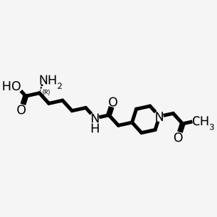 CC(=O)CN1CCC(CC(=O)NCCCC[C@@H](N)C(=O)O)CC1